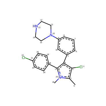 Cc1c(Cl)c(-c2cccc(N3CCNCC3)c2)c(-c2ccc(Cl)cc2)n1C